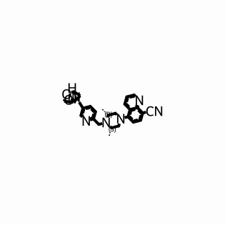 C[C@@H]1CN(c2ccc(C#N)c3ncccc23)C[C@H](C)N1Cc1ccc(N2CC3CNCC2CO3)cn1